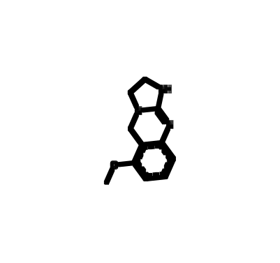 COc1cccc2c1CN1CCNC1=N2